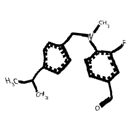 CC(C)c1ccc(CN(C)c2ccc(C=O)cc2F)cc1